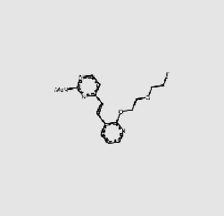 CNc1nccc(C=Cc2cccnc2OCCOCCF)n1